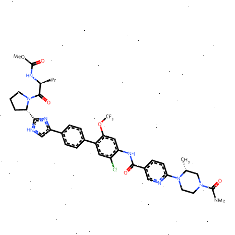 CNC(=O)N1CCN(c2ccc(C(=O)Nc3cc(OC(F)(F)F)c(-c4ccc(-c5c[nH]c([C@@H]6CCCN6C(=O)[C@@H](NC(=O)OC)C(C)C)n5)cc4)cc3Cl)cn2)[C@H](C)C1